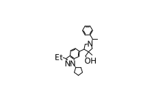 CCc1nn(C2CCCC2)c2cc(C3CN(C(C)c4ccccc4)CC3(C)CO)ccc12